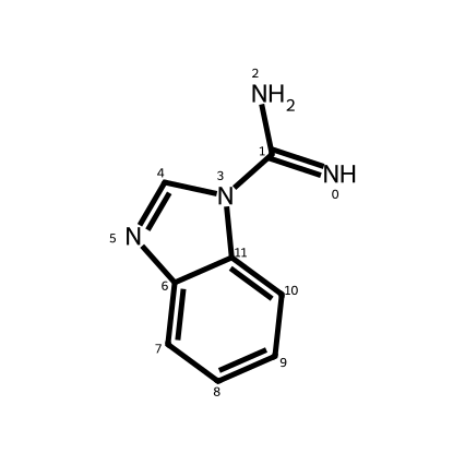 N=C(N)n1cnc2ccccc21